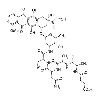 COc1cccc2c1C(=O)c1c(O)c3c(c(O)c1C2=O)C[C@@](O)(C(=O)CO)C[C@@H]3O[C@@H]1CC(NC(=O)C(CC(C)C)NC(=O)C(CC(N)=O)NC(=O)C(C)NC(=O)C(C)NC(=O)CCC(=O)O)[C@@H](O)C(C)O1